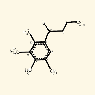 CCCC([S])c1cc(C)c(O)c(C)c1C